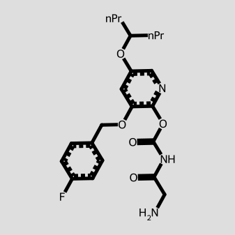 CCCC(CCC)Oc1cnc(OC(=O)NC(=O)CN)c(OCc2ccc(F)cc2)c1